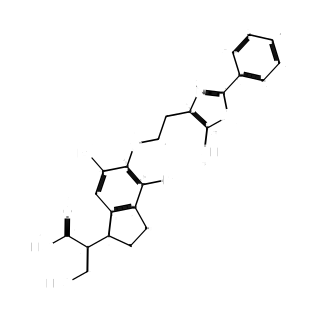 CCC(C(=O)O)C1CCc2c1cc(Br)c(OCCc1nc(-c3ccccc3)oc1C)c2Br